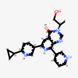 CC(CO)n1cnc2c(-c3cccnc3)nc(-c3ccc(C4CC4)nc3)cc2c1=O